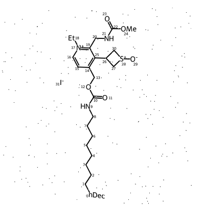 CCCCCCCCCCCCCCCCCCNC(=O)OCc1cc[n+](CC)c(CNC(=O)OC)c1C1C[S+]([O-])C1.[I-]